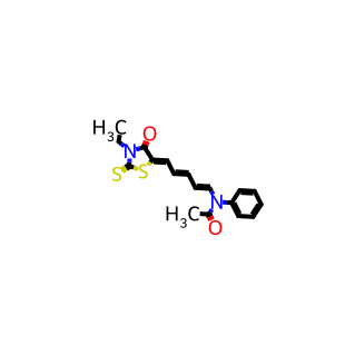 CCN1C(=O)/C(=C/C=C/C=C/N(C(C)=O)c2ccccc2)SC1=S